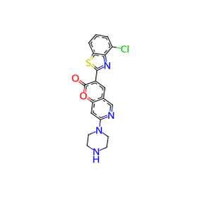 O=c1oc2cc(N3CCNCC3)ncc2cc1-c1nc2c(Cl)cccc2s1